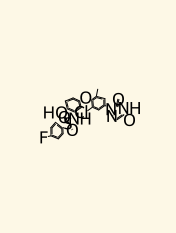 Cc1cc(-n2ncc(=O)[nH]c2=O)cc(Cl)c1Oc1ccc(O)c(NS(=O)(=O)c2ccc(F)cc2)c1